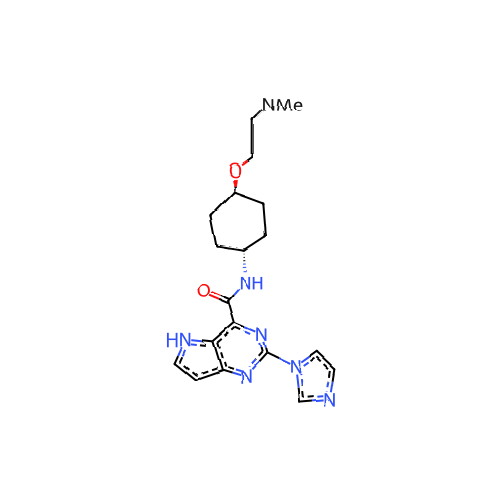 CNCCO[C@H]1CC[C@H](NC(=O)c2nc(-n3ccnc3)nc3cc[nH]c23)CC1